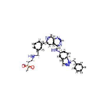 CS(=O)(=O)CCNCc1cccc(-c2cc3c(Nc4ccc5c(cnn5Cc5ccccc5)c4)ncnc3cn2)c1